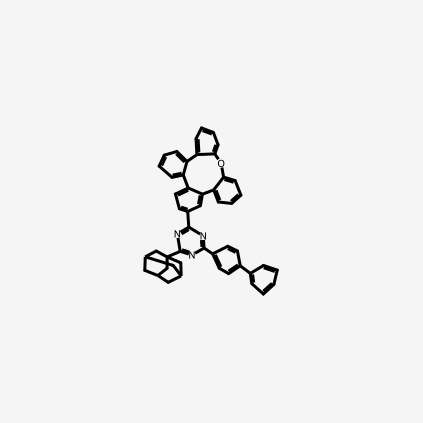 c1ccc(-c2ccc(-c3nc(-c4ccc5c(c4)c4ccccc4oc4ccccc4c4ccccc45)nc(C45CC6CC(CC(C6)C4)C5)n3)cc2)cc1